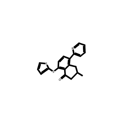 CC1CC(=O)c2c(Sc3cccs3)ccc(-c3ccccn3)c2C1